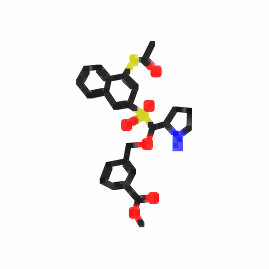 COC(=O)c1cccc(COC(C2CCCN2)S(=O)(=O)c2cc(SC(C)=O)c3ccccc3c2)c1